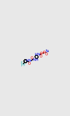 CN(C)C(=O)OCOC(=O)NC1CCC(NC(=O)CNC(=O)c2cccc(C(F)(F)F)c2)CC1